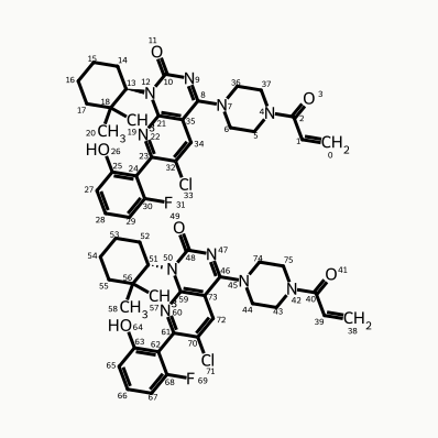 C=CC(=O)N1CCN(c2nc(=O)n([C@@H]3CCCCC3(C)C)c3nc(-c4c(O)cccc4F)c(Cl)cc23)CC1.C=CC(=O)N1CCN(c2nc(=O)n([C@H]3CCCCC3(C)C)c3nc(-c4c(O)cccc4F)c(Cl)cc23)CC1